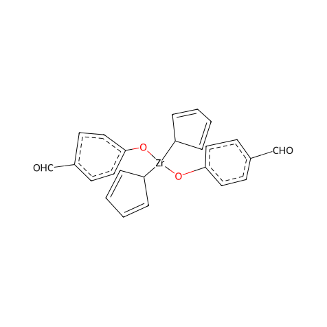 O=Cc1ccc([O][Zr]([O]c2ccc(C=O)cc2)([CH]2C=CC=C2)[CH]2C=CC=C2)cc1